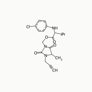 C#CCN1C(=O)N(COC(=O)C(Nc2ccc(Cl)cc2)C(C)C)C(=O)C1C